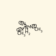 CC1CN(CCC(N)(CCN2CCOC(C)C2)CN2CCOCC2)CCO1